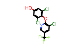 Oc1cc(Cl)c(Oc2ncc(C(F)(F)F)cc2Cl)c(Cl)c1